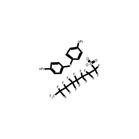 CCCc1ccc([I+]c2ccc(CCC)cc2)cc1.O=S(=O)([O-])C(F)(F)C(F)(F)C(F)(F)C(F)(F)C(F)(F)C(F)(F)C(F)(F)C(F)(F)F